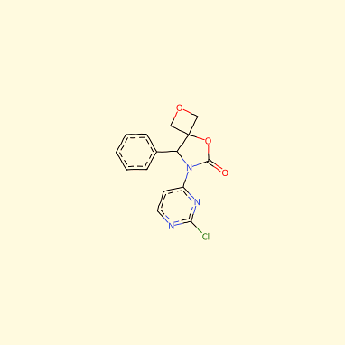 O=C1OC2(COC2)C(c2ccccc2)N1c1ccnc(Cl)n1